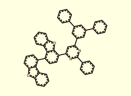 c1ccc(-c2cc(-c3ccccc3)cc(-c3cc(-c4ccc(-c5cccc6oc7ccccc7c56)c5c4oc4ccccc45)nc(-c4ccccc4)n3)c2)cc1